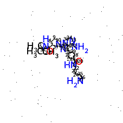 CC(C)(C)NC(=O)C1CCCN(c2nc(-c3ccc(C(=O)NC/C=C\C=C/N)cc3)c3c(N)nccn23)C1